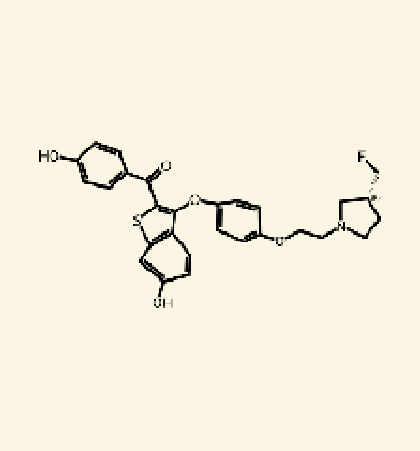 O=C(c1ccc(O)cc1)c1sc2cc(O)ccc2c1Oc1ccc(OCCN2CC[C@@H](CF)C2)cc1